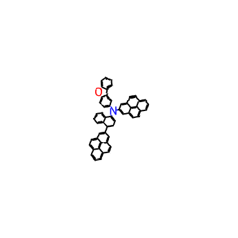 c1cc2ccc3cc(-c4ccc(N(c5cc6ccc7cccc8ccc(c5)c6c78)c5ccc6oc7ccccc7c6c5)c5ccccc45)cc4ccc(c1)c2c34